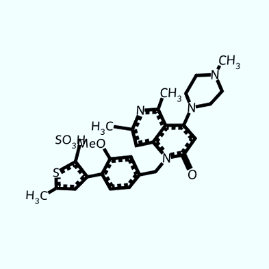 COc1cc(Cn2c(=O)cc(N3CCN(C)CC3)c3c(C)nc(C)cc32)ccc1-c1cc(C)sc1S(=O)(=O)O